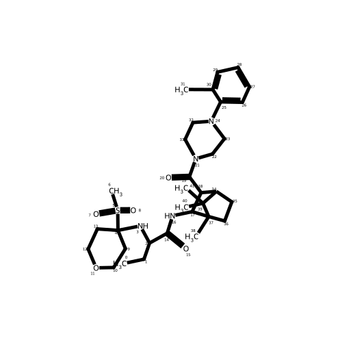 CCC(NC1(S(C)(=O)=O)CCOCC1)C(=O)NC1C(C(=O)N2CCN(c3ccccc3C)CC2)C2CCC1(C)C2(C)C